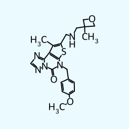 COc1ccc(Cn2c(=O)n3ncnc3c3c(C)c(CNCC4(C)COC4)sc32)cc1